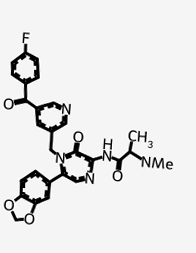 CNC(C)C(=O)Nc1ncc(-c2ccc3c(c2)OCO3)n(Cc2cncc(C(=O)c3ccc(F)cc3)c2)c1=O